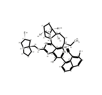 C#Cc1c(F)ccc2cccc(-c3nc4c5c(nc(OC[C@@]67CCCN6C[C@H](F)C7)nc5c3F)N3C[C@H]5CC[C@H](N5)[C@H]3CC[C@H]4CC)c12